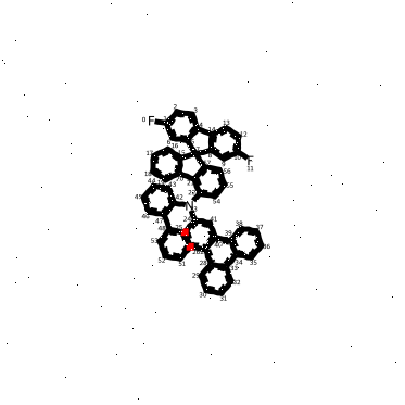 Fc1ccc2c(c1)C1(c3cc(F)ccc3-2)c2ccccc2-c2c(N(c3ccc4c5ccccc5c5ccccc5c4c3)c3ccccc3-c3ccccc3)cccc21